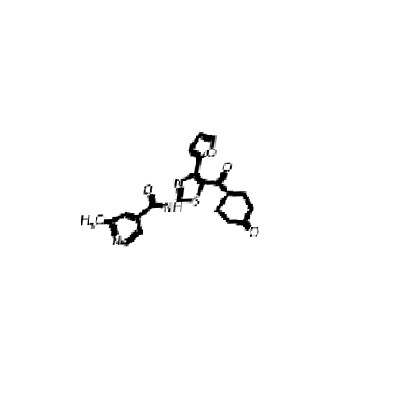 Cc1cc(C(=O)Nc2nc(-c3ccco3)c(C(=O)C3CCC(=O)CC3)s2)ccn1